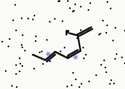 C=C(F)/C=C\C=C\C